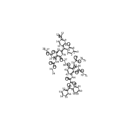 C=c1ccc2c(c1)Oc1cc(N(C)C)ccc1C=2c1ccc(N(CC(=O)OCC)CC(=O)OCC)c(OCCOc2ccc(CC(=O)C(=O)OC(c3ccccc3)c3ccccc3)cc2N(CC(=O)OCC)CC(=O)OCC)c1